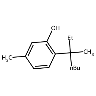 CCCCC(C)(CC)c1ccc(C)cc1O